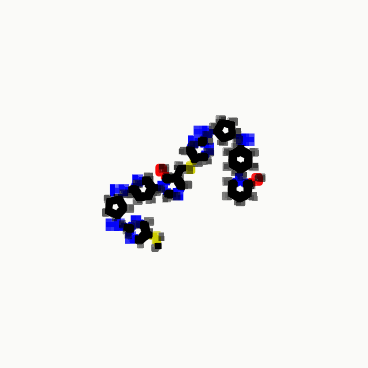 CSc1cnc(N[C@H]2CC[C@H](Nc3ccc(-n4cncc(CSc5cnc(N[C@H]6CC[C@H](Nc7ccc(-n8ccccc8=O)cc7)C6)nc5)c4=O)cn3)C2)nc1